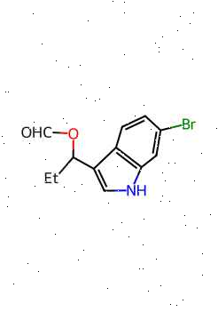 CCC(OC=O)c1c[nH]c2cc(Br)ccc12